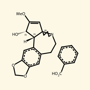 COC1=C[C@]23CCCN2CCc2cc4c(cc2[C@@H]3[C@@H]1O)OCO4.O=C(O)c1ccccc1